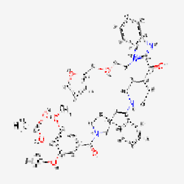 COc1cc(C(=O)N2CCC(CCN3CCC(C(=O)c4nc5ccccc5n4CCOCc4ccco4)CC3)(c3ccccc3)C2)cc(OC)c1OC(C)=O